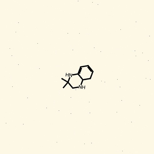 CC1(C)CNC2CC=CC=C2N1